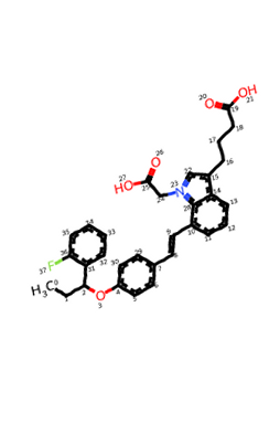 CCC(Oc1ccc(C=Cc2cccc3c(CCCC(=O)O)cn(CC(=O)O)c23)cc1)c1ccccc1F